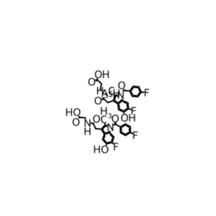 Cc1c(CC(=O)NCC(=O)O)c2cc(O)c(F)cc2n1C(=O)c1ccc(F)cc1.Cc1c(CC(=O)[AsH]CCC(=O)O)c2cc(O)c(F)cc2n1C(=O)c1ccc(F)cc1